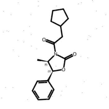 C[C@@H]1[C@H](c2ccccc2)OC(=O)N1C(=O)CC1CCCC1